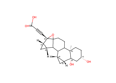 C[C@]12CC[C@H](O)C[C@@]1(O)[C@@H]1C[C@@H]1C1C3[C@@H]4C[C@@H]4[C@]4(C#CC(=O)O)OC34CCC12